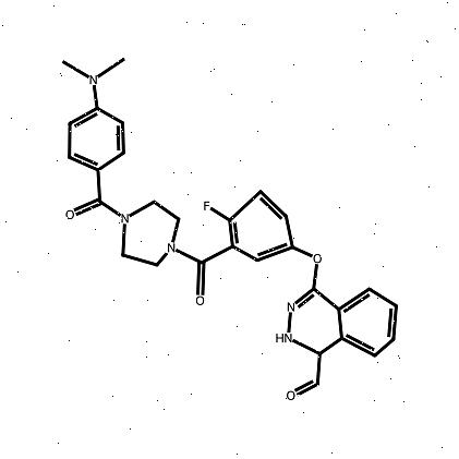 CN(C)c1ccc(C(=O)N2CCN(C(=O)c3cc(OC4=NNC(C=O)c5ccccc54)ccc3F)CC2)cc1